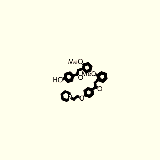 COc1ccccc1CC(=O)c1ccc(O)cc1.COc1ccccc1CC(=O)c1ccc(OCCN2CCCCC2)cc1